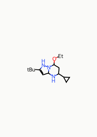 [CH2]COC1CC(C2CC2)NC2C=C(C(C)(C)C)NN21